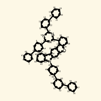 c1ccc(-c2ccc(-c3nc(-c4cccc(-c5ccccc5)c4)nc(-c4cccc5oc6cc7c(cc6c45)c4ccccc4n7-c4ccc(-c5cccc(-c6ccccc6)c5)cc4)n3)cc2)cc1